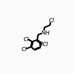 Cl.ClCCNCc1cccc(Cl)c1Cl